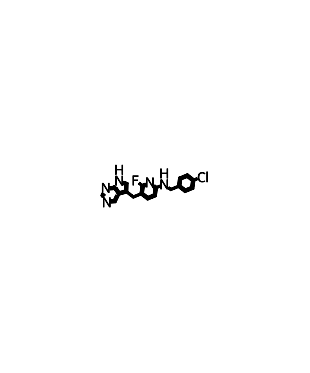 Fc1nc(NCc2ccc(Cl)cc2)ccc1Cc1c[nH]c2ncncc12